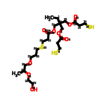 CCC(COC(=O)CCS)(COC(=O)CCS)COC(=O)CCSCCCOCC(C)OCCO